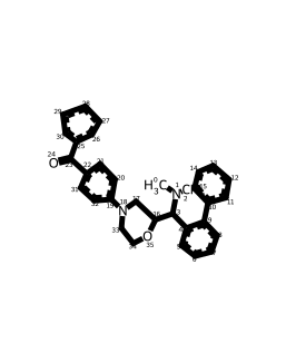 CN(C)C(c1ccccc1-c1ccccc1)C1CN(c2ccc(C(=O)c3ccccc3)cc2)CCO1